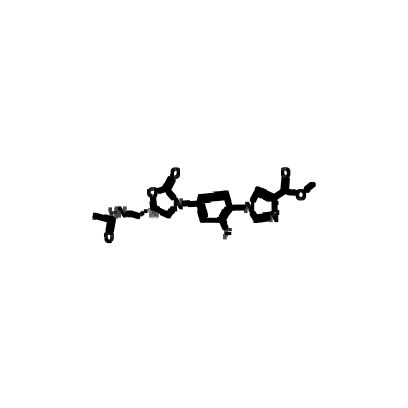 COC(=O)c1cn(-c2ccc(N3C[C@H](CNC(C)=O)OC3=O)cc2F)cn1